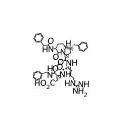 N=C(N)NCCC[C@H](NC(=O)[C@@H]1C[C@@H](Cc2ccccc2)[C@@H]2CCC(NC(=O)Cc3ccccc3)C(=O)N12)C(=O)N[C@@H](CC(=O)O)C(=O)NCc1ccccc1